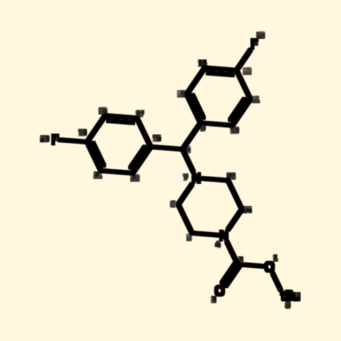 CC(C)(C)OC(=O)N1CCN(C(c2ccc(F)cc2)c2ccc(F)cc2)CC1